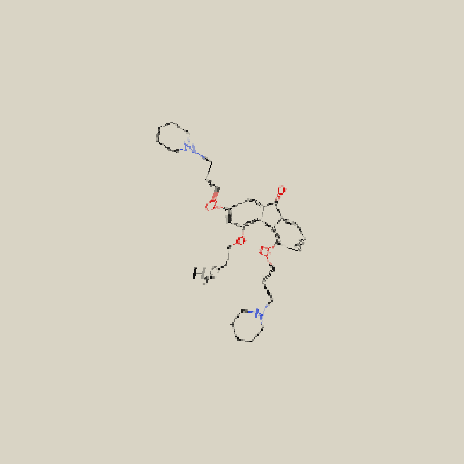 CCCOc1cc(OCCCN2CCCCC2)cc2c1-c1c(OCCCN3CCCCC3)cccc1C2=O